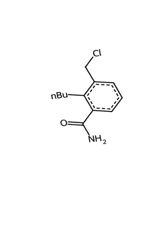 CCCCc1c(CCl)cccc1C(N)=O